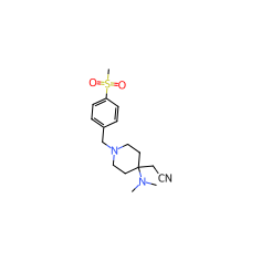 CN(C)C1(CC#N)CCN(Cc2ccc(S(C)(=O)=O)cc2)CC1